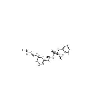 CN(Cc1ccccc1F)C(=O)CNCc1cc(/C=N/CCO)ccn1